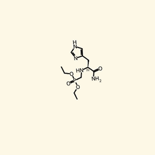 CCOP(=O)(CN[C@@H](Cc1c[nH]cn1)C(N)=O)OCC